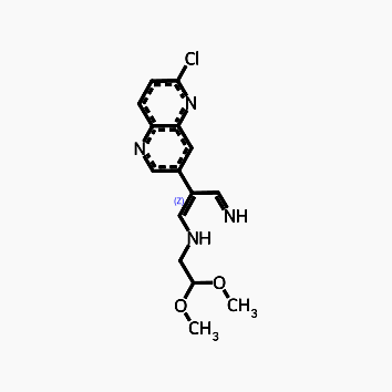 COC(CN/C=C(\C=N)c1cnc2ccc(Cl)nc2c1)OC